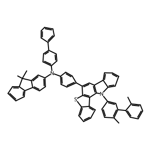 Cc1ccccc1-c1cc(-n2c3ccccc3c3cc(-c4ccc(N(c5ccc(-c6ccccc6)cc5)c5ccc6c(c5)C(C)(C)c5ccccc5-6)cc4)c4sc5ccccc5c4c32)ccc1C